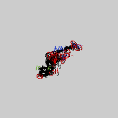 C[C@@H]1CC2C3C[C@H](F)C4=CC(=O)C=C[C@]4(C)[C@@]3(F)[C@@H](O)C[C@]2(C)[C@@]1(OC(=O)CCCO[N+](=O)[O-])C(=O)COC(=O)CCNC(=O)CCCO[N+](=O)[O-]